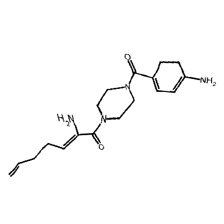 C=CCC/C=C(\N)C(=O)N1CCN(C(=O)C2=CC=C(N)CC2)CC1